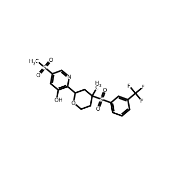 CC1(S(=O)(=O)c2cccc(C(F)(F)F)c2)CCOC(c2ncc(S(C)(=O)=O)cc2O)C1